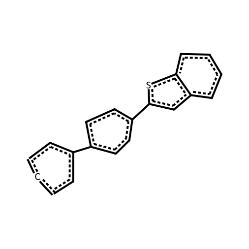 c1ccc(-c2ccc(-c3cc4ccccc4s3)cc2)cc1